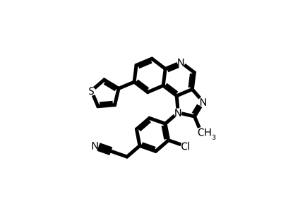 Cc1nc2cnc3ccc(-c4ccsc4)cc3c2n1-c1ccc(CC#N)cc1Cl